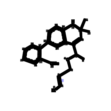 CC/C=C/COC(C)C1=CC(C)(C)Nc2ccc(-c3ccccc3OC)cc21